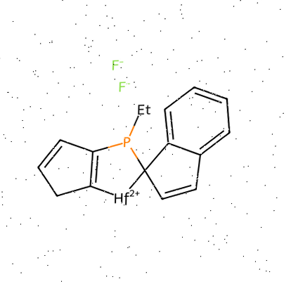 CCP1C2=[C](CC=C2)[Hf+2][C]12C=Cc1ccccc12.[F-].[F-]